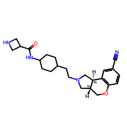 N#Cc1ccc2c(c1)[C@@H]1CN(CCC3CCC(NC(=O)C4CNC4)CC3)C[C@H]1CO2